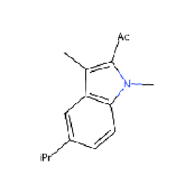 CC(=O)c1c(C)c2cc(C(C)C)ccc2n1C